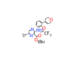 C[C@H](Oc1c(Nc2ncc(C3CC3)nc2C(=O)OC(C)(C)C)cccc1C1=CCOCC1)C(F)(F)F